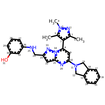 Cc1nn(C)c(C)c1-c1cc(N2Cc3ccccc3C2)nc2cc(CNc3cccc(O)c3)nn12